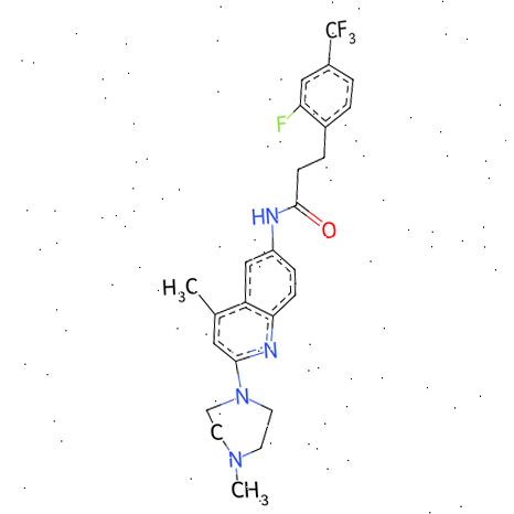 Cc1cc(N2CCN(C)CC2)nc2ccc(NC(=O)CCc3ccc(C(F)(F)F)cc3F)cc12